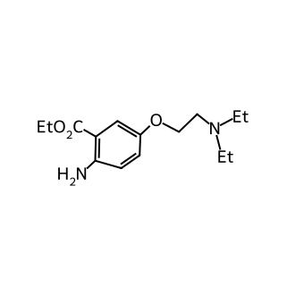 CCOC(=O)c1cc(OCCN(CC)CC)ccc1N